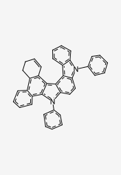 C1=Cc2c(c3ccccc3c3c2c2c4c5ccccc5n(-c5ccccc5)c4ccc2n3-c2ccccc2)CC1